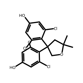 CC1(C)CC(c2c(Cl)cc(O)cc2Cl)(c2c(Cl)cc(O)cc2Cl)CO1